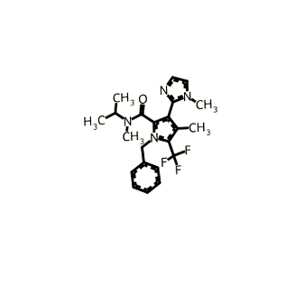 Cc1c(-c2nccn2C)c(C(=O)N(C)C(C)C)n(Cc2ccccc2)c1C(F)(F)F